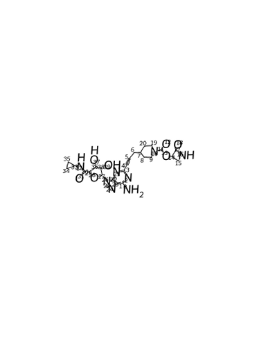 Nc1nc(C#CCC2CCN(C(=O)OC3CNC3=O)CC2)nc2c1ncn2[C@@H]1O[C@H](C(=O)NC2CC2)C(O)[C@@H]1O